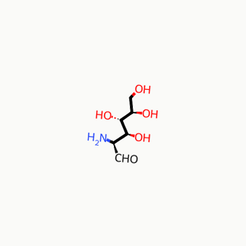 N[C@H](C=O)[C@H](O)[C@H](O)[C@H](O)CO